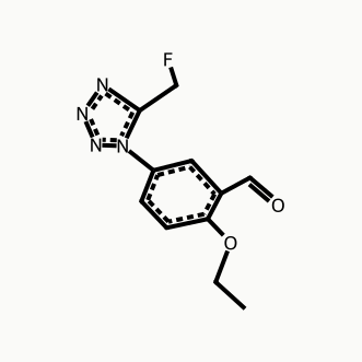 CCOc1ccc(-n2nnnc2CF)cc1C=O